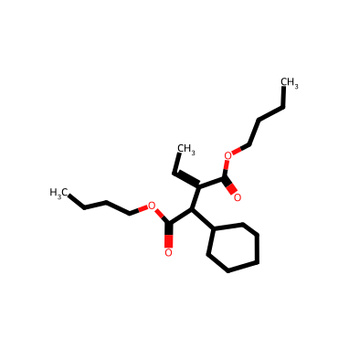 CC=C(C(=O)OCCCC)C(C(=O)OCCCC)C1CCCCC1